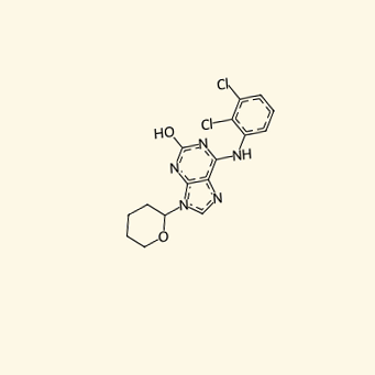 Oc1nc(Nc2cccc(Cl)c2Cl)c2ncn(C3CCCCO3)c2n1